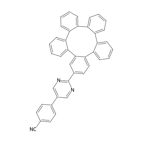 N#Cc1ccc(-c2cnc(-c3ccc4c5ccccc5c5ccccc5c5ccccc5c5ccccc5c4c3)nc2)cc1